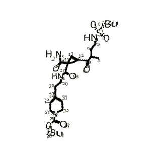 CC[C@H](C)S(=O)(=O)NCCC(C)C(=O)[C@@H]1CC1(C(N)=O)C(=O)NCCC1CCN(C(=O)OC(C)(C)C)CC1